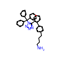 NCCCCc1ccc(-c2ccccc2-c2nnnn2C(c2ccccc2)(c2ccccc2)c2ccccc2)cc1